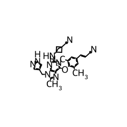 Cc1cc(/C=C/C#N)cc(C)c1Oc1nc(NC23CC(C#N)(C2)C3)nc2c1nc(C)n2Cc1cn[nH]c1